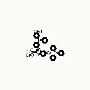 C=C(OCC)c1cnc2cc(Br)ccc2n1.[Cl][Pd][Cl].c1ccc(P(c2ccccc2)c2ccccc2)cc1.c1ccc(P(c2ccccc2)c2ccccc2)cc1